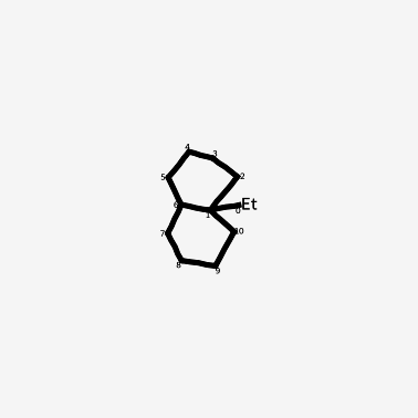 CCC12CCCCC1CCCC2